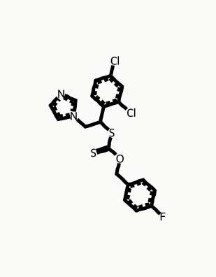 Fc1ccc(COC(=S)SC(Cn2ccnc2)c2ccc(Cl)cc2Cl)cc1